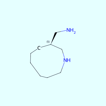 NC[C@@H]1CCCCCCNC1